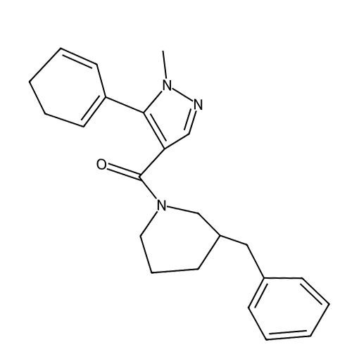 Cn1ncc(C(=O)N2CCCC(Cc3ccccc3)C2)c1C1=CCCC=C1